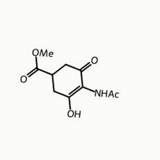 COC(=O)C1CC(=O)C(NC(C)=O)=C(O)C1